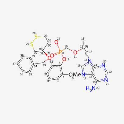 COc1ccccc1OP(=O)(CO[C@H](C)Cn1cnc2c(N)ncnc21)O[C@H]1CSSC[C@@H]1OCc1ccccc1